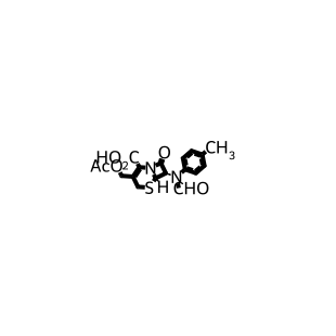 CC(=O)OCC1=C(C(=O)O)N2C(=O)[C@H](N(C=O)c3ccc(C)cc3)[C@H]2SC1